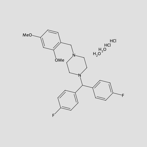 COc1ccc(CN2CCN(C(c3ccc(F)cc3)c3ccc(F)cc3)CC2)c(OC)c1.Cl.Cl.O.O